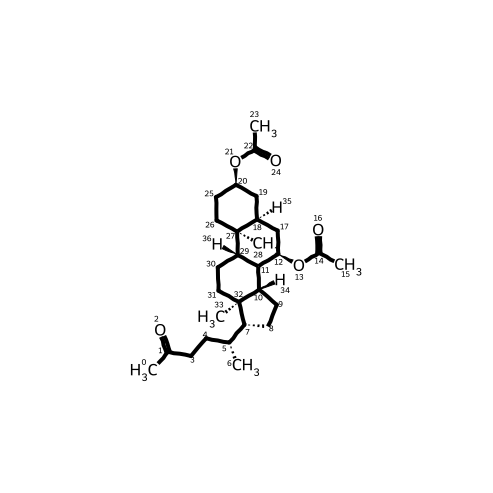 CC(=O)CC[C@@H](C)[C@H]1CC[C@H]2C3[C@H](OC(C)=O)C[C@@H]4C[C@H](OC(C)=O)CC[C@]4(C)[C@H]3CC[C@]12C